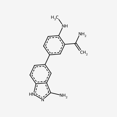 C=C(N)c1cc(-c2ccc3[nH]nc(N)c3c2)ccc1NC